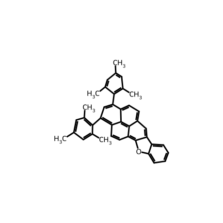 Cc1cc(C)c(-c2cc(-c3c(C)cc(C)cc3C)c3ccc4c5oc6ccccc6c5cc5ccc2c3c54)c(C)c1